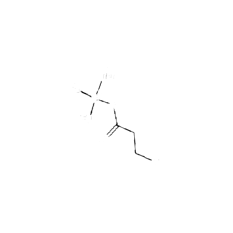 CC(C)(C)[Si](OC(=O)CCCl)(C(C)(C)C)C(C)(C)C